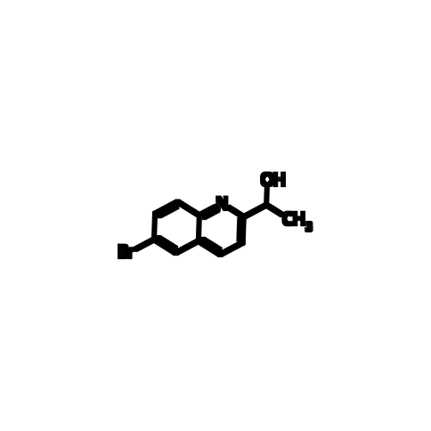 CC(O)c1ccc2cc(Br)ccc2n1